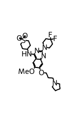 COc1cc2c(NC3CCS(=O)(=O)CC3)nc(N3CCC(F)(F)CC3)nc2cc1OCCCN1CCCC1